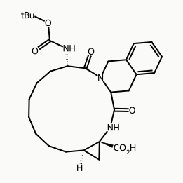 CC(C)(C)OC(=O)N[C@H]1CCCCCCC[C@@H]2C[C@@]2(C(=O)O)NC(=O)C2Cc3ccccc3CN2C1=O